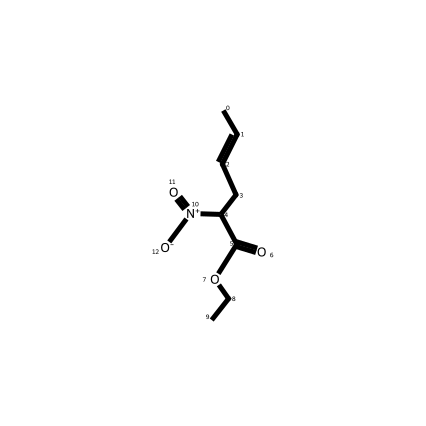 CC=CCC(C(=O)OCC)[N+](=O)[O-]